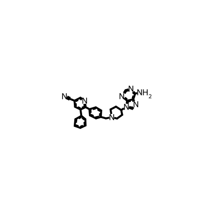 N#Cc1cnc(-c2ccc(CN3CCC(n4cnc5c(N)ncnc54)CC3)cc2)c(-c2ccccc2)c1